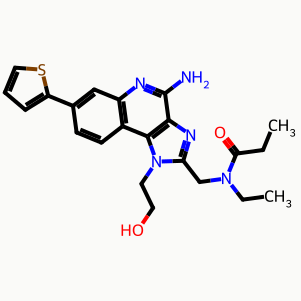 CCC(=O)N(CC)Cc1nc2c(N)nc3cc(-c4cccs4)ccc3c2n1CCO